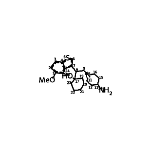 COc1ccc2scc(C(CN3CCC(N)CC3)C3(O)CCCCC3)c2c1